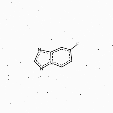 Fc1ccn2ncnc2c1